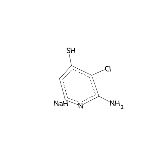 Nc1nccc(S)c1Cl.[NaH]